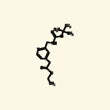 CCOC(=O)Cc1ccnc(CNC(=O)OC(C)(C)C)c1